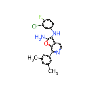 Cc1cc(C)cc(-c2nccc3c(Nc4ccc(F)c(Cl)c4)c(N)oc23)c1